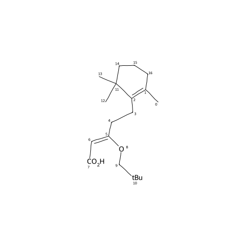 CC1=C(CCC(=CC(=O)O)OCC(C)(C)C)C(C)(C)CCC1